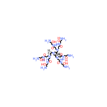 CC(CN(CCC(=O)NCC(O)CN)CCC(=O)NCC(O)CN)CN(CC(C)CN(CCC(=O)NCC(O)CN)CCC(=O)NCC(O)CN)CC(C)CN(CCC(=O)NCC(O)CN)CCC(=O)NCC(O)CN